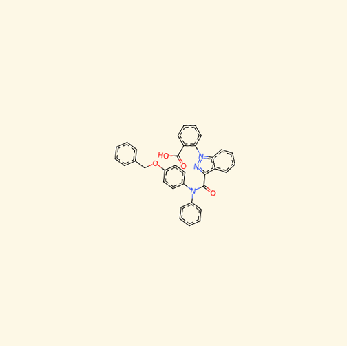 O=C(O)c1ccccc1-n1nc(C(=O)N(c2ccccc2)c2ccc(OCc3ccccc3)cc2)c2ccccc21